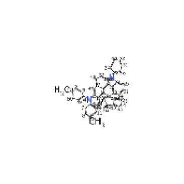 Cc1ccc(N(c2ccc(C)cc2)c2cc3c4c(ccc5c4c4c(cccc4n5-c4ccccc4)C34c3ccccc3-c3ccccc34)c2)cc1